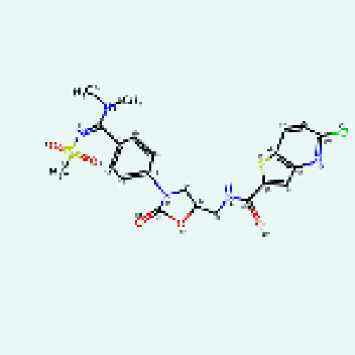 CN(C)/C(=N/S(C)(=O)=O)c1ccc(N2CC(CNC(=O)c3cc4nc(Cl)ccc4s3)OC2=O)cc1